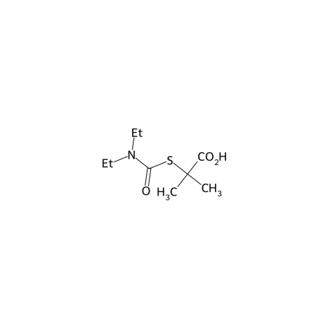 CCN(CC)C(=O)SC(C)(C)C(=O)O